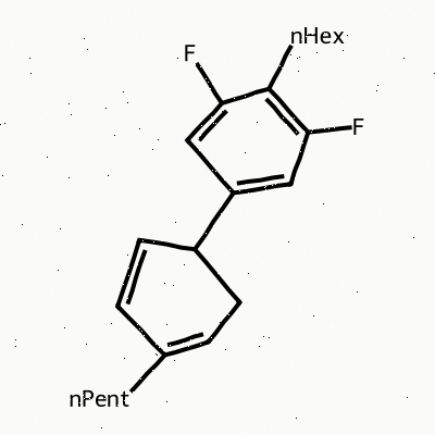 CCCCCCc1c(F)cc(C2C=CC(CCCCC)=CC2)cc1F